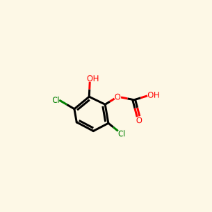 O=C(O)Oc1c(Cl)ccc(Cl)c1O